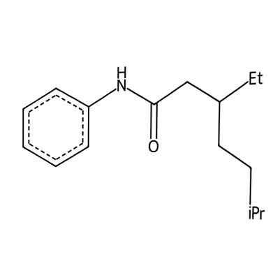 CCC(CCC(C)C)CC(=O)Nc1ccccc1